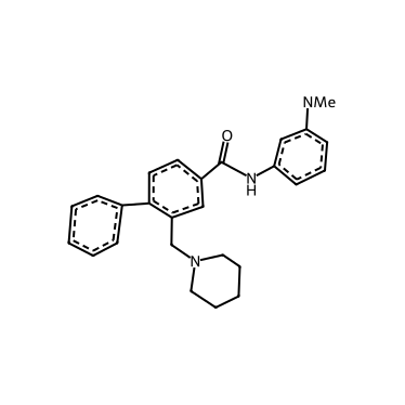 CNc1cccc(NC(=O)c2ccc(-c3ccccc3)c(CN3CCCCC3)c2)c1